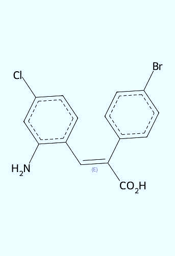 Nc1cc(Cl)ccc1/C=C(/C(=O)O)c1ccc(Br)cc1